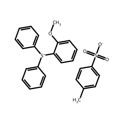 COc1ccccc1[S+](c1ccccc1)c1ccccc1.Cc1ccc(S(=O)(=O)[O-])cc1